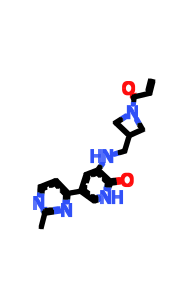 C=CC(=O)N1CC(CNc2cc(-c3ccnc(C)n3)c[nH]c2=O)C1